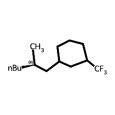 CCCC[C@@H](C)CC1CCCC(C(F)(F)F)C1